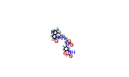 O=C1COc2ccc(N3C[C@@H](CNC[C@H]4Cc5c(F)cnc6ccc(=O)n(c56)C4)OC3=O)cc2N1